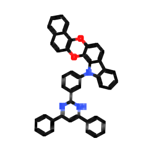 C1=C(c2ccccc2)NC(c2cccc(-n3c4ccccc4c4ccc5c(c43)Oc3ccc4ccccc4c3O5)c2)N=C1c1ccccc1